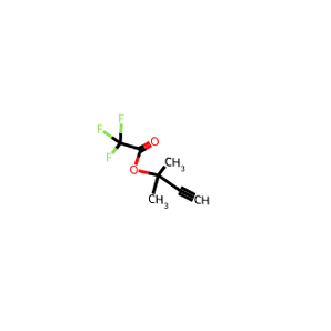 C#CC(C)(C)OC(=O)C(F)(F)F